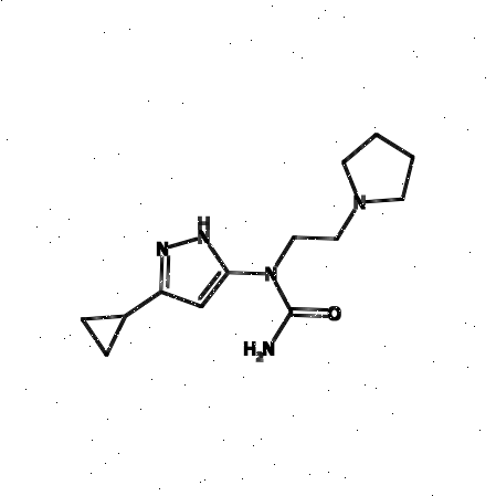 NC(=O)N(CCN1CCCC1)c1cc(C2CC2)n[nH]1